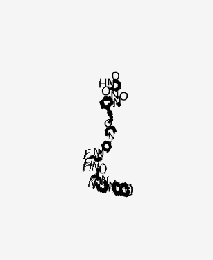 Cn1c(=O)n(C2CCC(=O)NC2=O)c2cccc(C#CCOC3CCN(C[C@H]4CC[C@H](n5cc(NC(=O)c6cnn7ccc(N8CC9COCC9C8)nc67)c(C(F)F)n5)CC4)CC3)c21